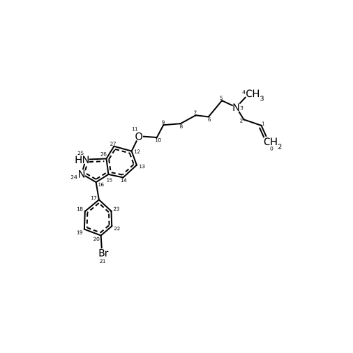 C=CCN(C)CCCCCCOc1ccc2c(-c3ccc(Br)cc3)n[nH]c2c1